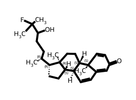 C[C@H](CCC(O)C(C)(C)F)[C@H]1CC[C@H]2[C@@H]3C=CC4=CC(=O)C=C[C@]4(C)[C@H]3CC[C@]12C